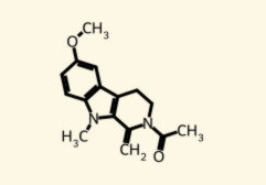 C=C1c2c(c3cc(OC)ccc3n2C)CCN1C(C)=O